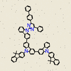 CC1(C)c2ccccc2-c2ccc(-n3c4ccccc4c4cc(-c5ccc6c(c5)c5cc(-c7ccc8c(c7)c7ccccc7n8-c7nc(-c8ccccc8)cc(-c8ccc(-c9ccccc9)cc8)n7)ccc5n6-c5ccc6c(c5)C(C)(C)c5ccccc5-6)ccc43)cc21